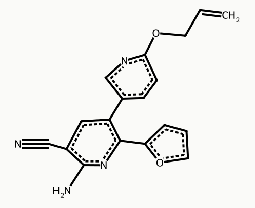 C=CCOc1ccc(-c2cc(C#N)c(N)nc2-c2ccco2)cn1